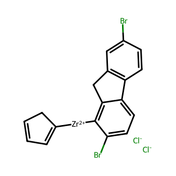 Brc1ccc2c(c1)Cc1c-2ccc(Br)[c]1[Zr+2][C]1=CC=CC1.[Cl-].[Cl-]